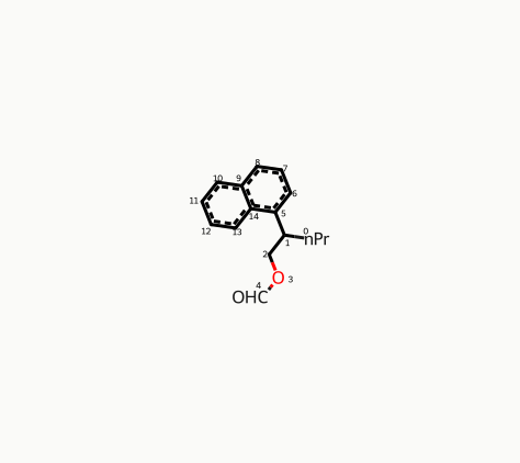 CCCC(COC=O)c1cccc2ccccc12